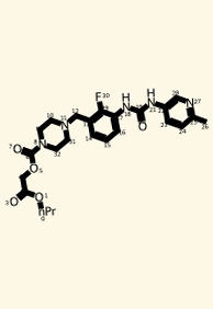 CCCOC(=O)COC(=O)N1CCN(Cc2cccc(NC(=O)Nc3ccc(C)nc3)c2F)CC1